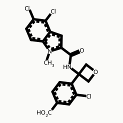 Cn1c(C(=O)NC2(c3ccc(C(=O)O)cc3Cl)COC2)cc2c(Cl)c(Cl)ccc21